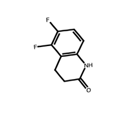 O=C1CCc2c(ccc(F)c2F)N1